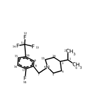 CC(C)C1CCN(Cc2cc(C(F)(F)F)ccc2F)CC1